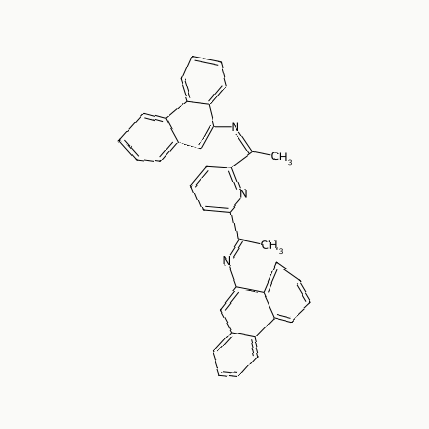 CC(=Nc1cc2ccccc2c2ccccc12)c1cccc(C(C)=Nc2cc3ccccc3c3ccccc23)n1